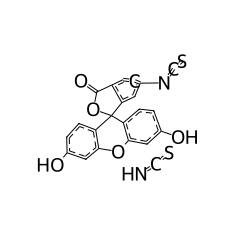 N=C=S.O=C1OC2(c3ccc(O)cc3Oc3cc(O)ccc32)c2cc(N=C=S)ccc21